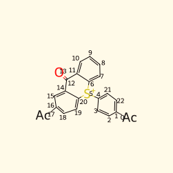 CC(=O)c1ccc(-[s+]2c3ccccc3c(=O)c3cc(C(C)=O)ccc32)cc1